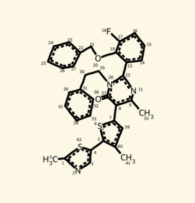 Cc1ncc(-c2sc(-c3c(C)nc(-c4cccc(F)c4OCc4ccccc4)n(CCc4ccccc4)c3=O)cc2C)s1